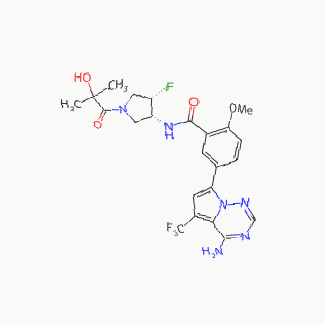 COc1ccc(-c2cc(C(F)(F)F)c3c(N)ncnn23)cc1C(=O)N[C@@H]1CN(C(=O)C(C)(C)O)C[C@@H]1F